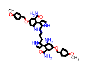 COc1ccc(COc2cc(N)c(-c3cc[nH]c3CC=CCc3[nH]ccc3-c3c(N)cc(OCc4ccc(OC)cc4)cc3C(N)=O)c(C(N)=O)c2)cc1